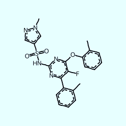 Cc1ccccc1Oc1nc(NS(=O)(=O)c2cnn(C)c2)nc(-c2ccccc2C)c1F